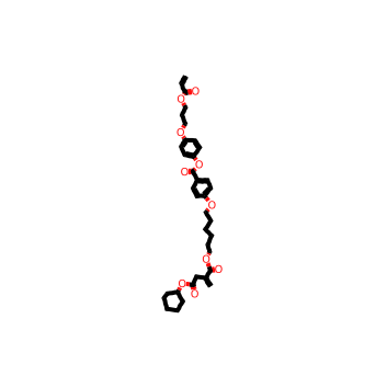 C=CC(=O)OCCCOc1ccc(OC(=O)c2ccc(OCCCCCCOC(=O)C(=C)CC(=O)OC3CCCCC3)cc2)cc1